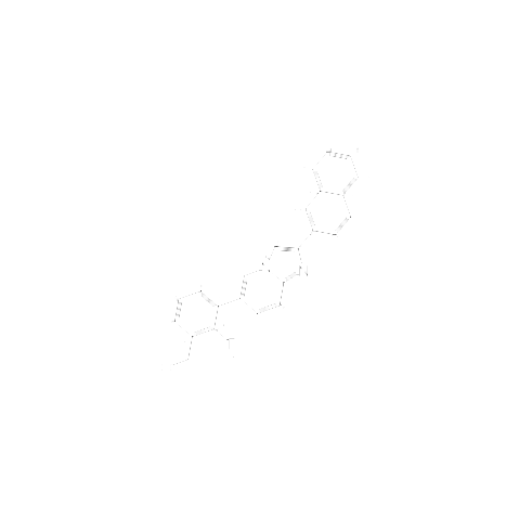 OCc1cccc(-c2ccc3nc(-c4ccc5ccccc5c4)cn3c2)c1F